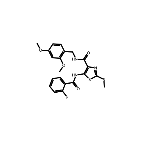 COc1ccc(CNC(=O)c2nc(SC)sc2NC(=O)c2ccccc2F)c(OC)c1